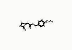 COc1ccc(COC(=O)CN2CCC2=O)cc1